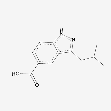 CC(C)Cc1n[nH]c2ccc(C(=O)O)cc12